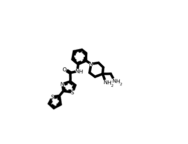 NCC1(N)CCN(c2ccccc2NC(=O)c2csc(-c3cccs3)n2)CC1